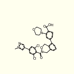 Cn1cc(-c2cc(Cl)c(C(=O)N3Cc4cccc(-c5ccc(C(=O)O)c(N6CCOCC6)c5)c4CO3)c(Cl)c2)cn1